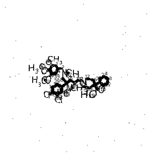 COc1cc(CN(C)CC(CCCN2CCC(C(=O)O)(c3ccccc3)CC2)(c2ccc(Cl)c(Cl)c2)N(C)C)cc(OC)c1OC